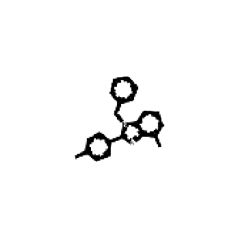 Cc1ccc(-c2nc3c(C)cccc3n2Cc2ccccc2)cc1